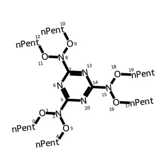 CCCCCON(OCCCCC)c1nc(N(OCCCCC)OCCCCC)nc(N(OCCCCC)OCCCCC)n1